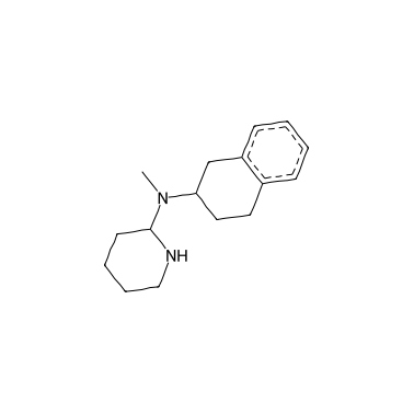 CN(C1CCc2ccccc2C1)C1CCCCN1